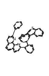 c1ccc(-c2ccc3ccc4ccc(-c5ccccc5-c5cccc6sc7ccccc7c56)nc4c3n2)cc1